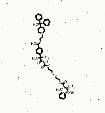 C[C@@H]([C@@H](O)c1ccccc1)N(C)C(=O)OCCSSCCOC(=O)NC(=O)C(C)(C)c1ccc(C(O)CCCN2CCC(C(O)(c3ccccc3)c3ccccc3)CC2)cc1